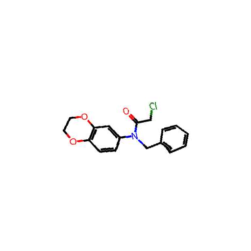 O=C(CCl)N(Cc1ccccc1)c1ccc2c(c1)OCCO2